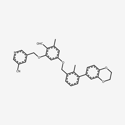 Cc1cc(OCc2cccc(-c3ccc4c(c3)OCCO4)c2C)cc(OCc2cncc(C#N)c2)c1C=O